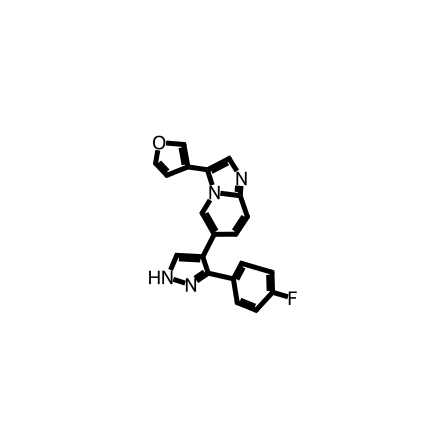 Fc1ccc(-c2n[nH]cc2-c2ccc3ncc(-c4ccoc4)n3c2)cc1